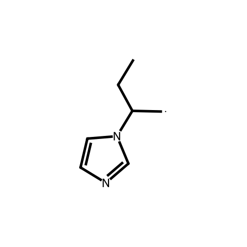 [CH2]C(CC)n1ccnc1